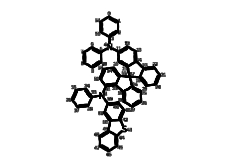 c1ccc(N(c2ccccc2)c2ccc3c(c2)C2(c4ccccc4-3)c3ccccc3-c3c(N(c4ccccc4)c4ccc5sc6ccccc6c5c4)cccc32)cc1